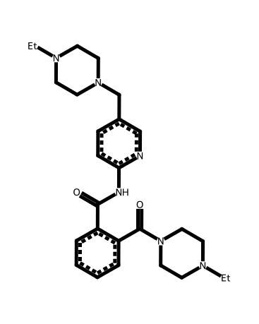 CCN1CCN(Cc2ccc(NC(=O)c3ccccc3C(=O)N3CCN(CC)CC3)nc2)CC1